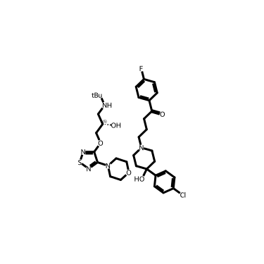 CC(C)(C)NC[C@H](O)COc1nsnc1N1CCOCC1.O=C(CCCN1CCC(O)(c2ccc(Cl)cc2)CC1)c1ccc(F)cc1